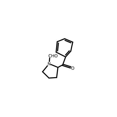 O=CN1CCCC1C(=O)c1ccccc1